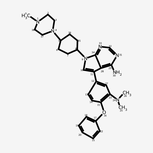 CN1CCN(C2CCC(n3cc(-c4ccc(Oc5ccccc5)c(N(C)C)c4)c4c(N)ncnc43)CC2)CC1